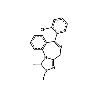 CC1N(I)N=C2CN=C(c3ccccc3Cl)c3ccccc3N21